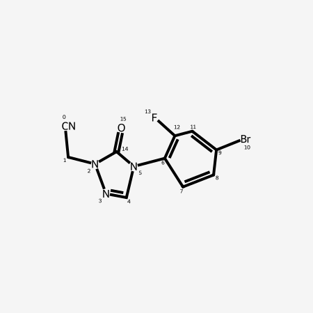 N#CCn1ncn(-c2ccc(Br)cc2F)c1=O